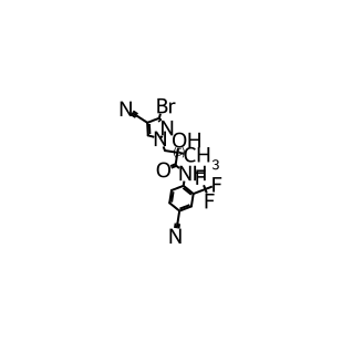 C[C@](O)(Cn1cc(C#N)c(Br)n1)C(=O)Nc1ccc(C#N)cc1C(F)(F)F